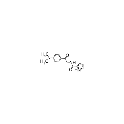 CN(C)c1ccc(C(=O)CNC(=O)c2ccc[nH]2)cc1